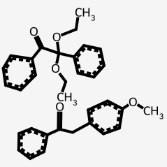 CCOC(OCC)(C(=O)c1ccccc1)c1ccccc1.COc1ccc(CC(=O)c2ccccc2)cc1